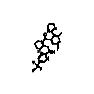 Cc1cc(F)cc(C(=O)N2CCC[C@@H](C)C2CNc2ncc(C(F)(F)F)cn2)c1-c1ncccn1